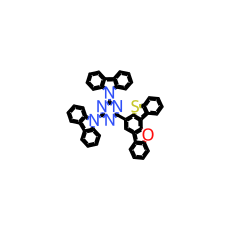 c1ccc2c(c1)oc1c2cc(-c2nc(-n3c4ccccc4c4ccccc43)nc(-n3c4ccccc4c4ccccc43)n2)c2sc3ccccc3c21